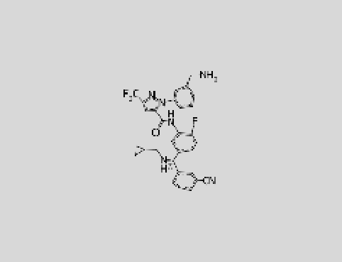 N#Cc1cccc([C@@H](NCC2CC2)c2ccc(F)c(NC(=O)c3cc(C(F)(F)F)nn3-c3cccc(CN)c3)c2)c1